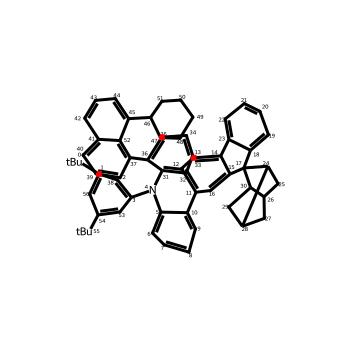 CC(C)(C)c1cc(N(c2ccccc2-c2ccc3c(c2)C2(c4ccccc4-3)C3CC4CC3CC42)c2ccccc2-c2cccc3cccc(C4CCCCC4)c23)cc(C(C)(C)C)c1